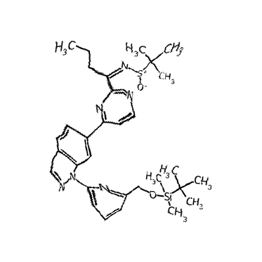 CCC/C(=N/[S+]([O-])C(C)(C)C)c1nccc(-c2ccc3cnn(-c4cccc(CO[Si](C)(C)C(C)(C)C)n4)c3c2)n1